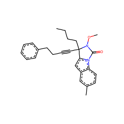 CCCCC1(C#CCCc2ccccc2)c2cc3cc(C)ccc3n2C(=O)N1OC